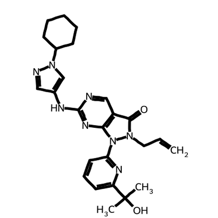 C=CCn1c(=O)c2cnc(Nc3cnn(C4CCCCC4)c3)nc2n1-c1cccc(C(C)(C)O)n1